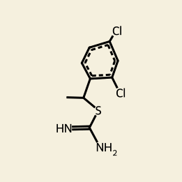 CC(SC(=N)N)c1ccc(Cl)cc1Cl